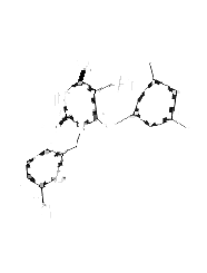 Cc1cc(C)cc(Sc2c(C(C)C)c(=O)[nH]c(=O)n2Cc2cccc(Cl)n2)c1